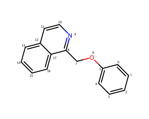 [c]1ccccc1OCc1nccc2ccccc12